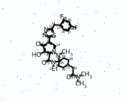 CCN1C(=O)c2c(O)c(=O)c(-c3nnc(Cc4ccc(F)cc4F)s3)cn2N(C)C12CCC(CC(=O)N(C)C)CC2